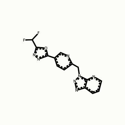 FC(F)c1nnc(-c2ccc(Cn3nnc4cccnc43)nc2)o1